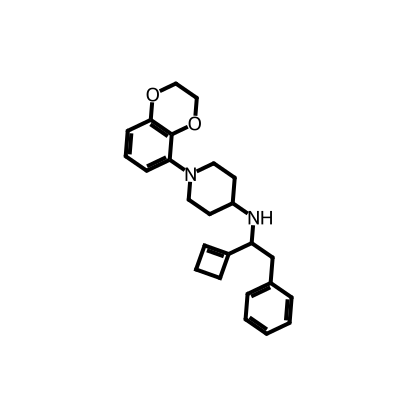 C1=C(C(Cc2ccccc2)NC2CCN(c3cccc4c3OCCO4)CC2)CC1